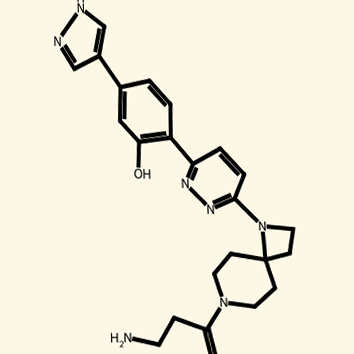 NCCC(=O)N1CCC2(CC1)CCN2c1ccc(-c2ccc(-c3cn[nH]c3)cc2O)nn1